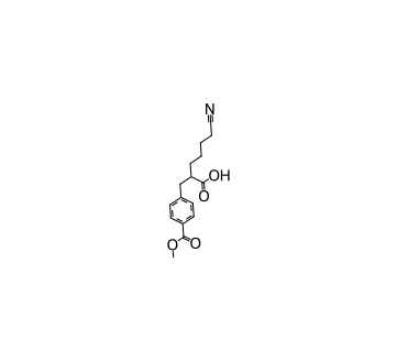 COC(=O)c1ccc(CC(CCCCC#N)C(=O)O)cc1